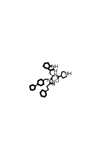 O=C(N[C@H](Cc1c[nH]c2ccccc12)c1nnc(CCc2ccccc2)n1Cc1ccc(-c2ccccc2)cc1)C1CCNCC1